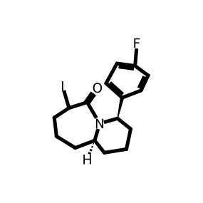 O=C1C(I)CCC[C@@H]2CCC[C@H](c3ccc(F)cc3)N12